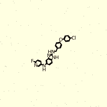 Fc1ccc(Nc2ccc3[nH]c(NCc4ccc(Oc5ccc(Cl)cc5)cc4)nc3c2)cn1